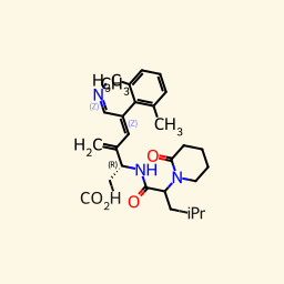 C=C(/C=C(\C=N/C)c1c(C)cccc1C)[C@@H](CC(=O)O)NC(=O)C(CC(C)C)N1CCCCC1=O